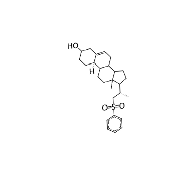 C[C@H](CS(=O)(=O)c1ccccc1)C1CCC2C3CC=C4CC(O)CC[C@@H]4C3CCC21C